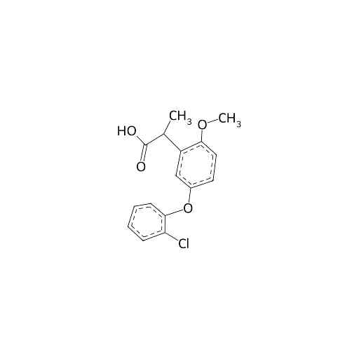 COc1ccc(Oc2ccccc2Cl)cc1C(C)C(=O)O